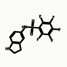 O=S(=O)(Nc1ccc2c(c1)CCN2)c1c(F)c(F)c(F)c(F)c1F